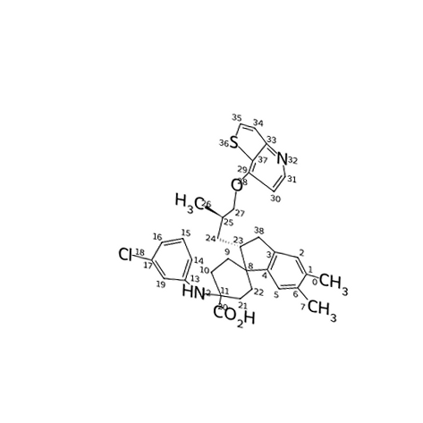 Cc1cc2c(cc1C)C1(CCC(Nc3cccc(Cl)c3)(C(=O)O)CC1)[C@H](C[C@@H](C)COc1ccnc3ccsc13)C2